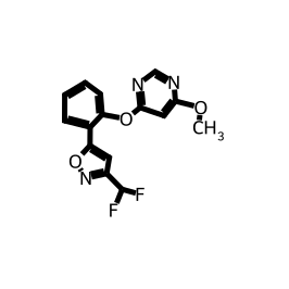 COc1cc(Oc2ccccc2-c2cc(C(F)F)no2)ncn1